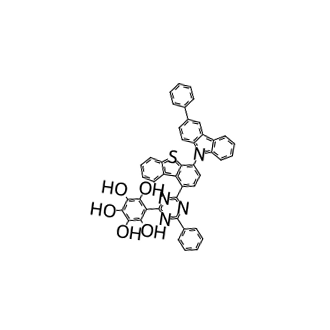 Oc1c(O)c(O)c(-c2nc(-c3ccccc3)nc(-c3ccc(-n4c5ccccc5c5cc(-c6ccccc6)ccc54)c4sc5ccccc5c34)n2)c(O)c1O